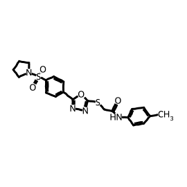 Cc1ccc(NC(=O)CSc2nnc(-c3ccc(S(=O)(=O)N4CCCC4)cc3)o2)cc1